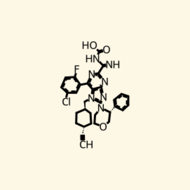 C#C[C@H]1CC[C@H](Cn2c(N3CCOC[C@H]3c3ccccc3)nc3nc(C(=N)NC(=O)O)nc(-c4cc(Cl)ccc4F)c32)CC1